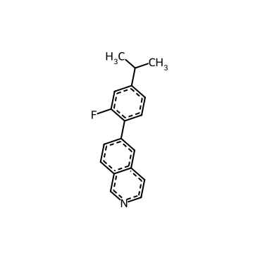 CC(C)c1ccc(-c2ccc3cnccc3c2)c(F)c1